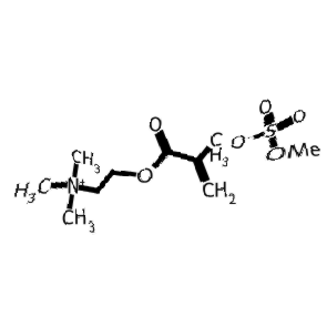 C=C(C)C(=O)OCC[N+](C)(C)C.COS(=O)(=O)[O-]